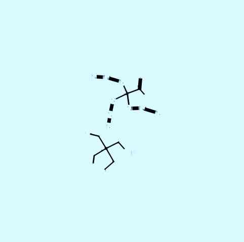 CCC(CO)(CO)CO.[N-]=[N+]=NC(N=[N+]=[N-])(N=[N+]=[N-])C(=O)O